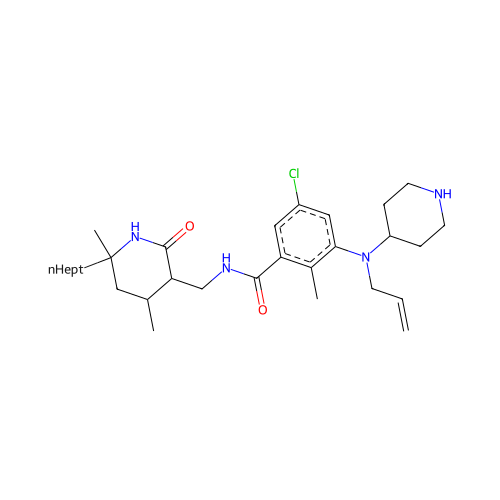 C=CCN(c1cc(Cl)cc(C(=O)NCC2C(=O)NC(C)(CCCCCCC)CC2C)c1C)C1CCNCC1